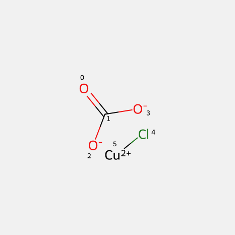 O=C([O-])[O-].[Cl][Cu+2]